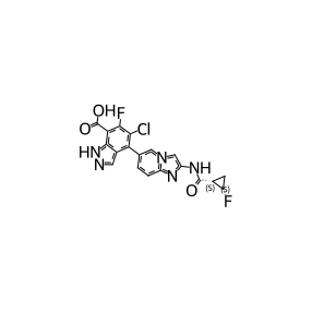 O=C(O)c1c(F)c(Cl)c(-c2ccc3nc(NC(=O)[C@@H]4C[C@@H]4F)cn3c2)c2cn[nH]c12